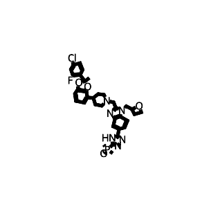 CC1(c2ccc(Cl)cc2F)Oc2cccc(C3CCN(Cc4nc5cc(-c6nnc(P(C)(C)=O)[nH]6)ccc5n4CC4CCO4)CC3)c2O1